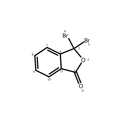 O=C1OC(Br)(Br)c2ccccc21